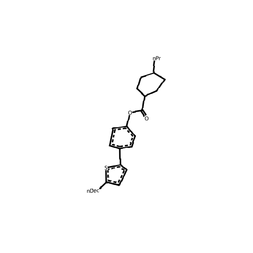 CCCCCCCCCCc1ccc(-c2ccc(OC(=O)C3CCC(CCC)CC3)cc2)s1